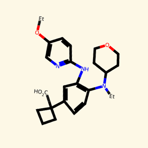 CCOc1ccc(Nc2cc(C3(C(=O)O)CCC3)ccc2N(CC)C2CCOCC2)nc1